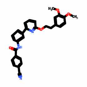 COc1ccc(CCOc2cccc(-c3cccc(NC(=O)c4ccc(C#N)cc4)c3)n2)cc1OC